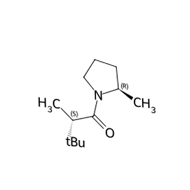 C[C@@H]1CCCN1C(=O)[C@@H](C)C(C)(C)C